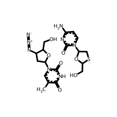 Cc1cn(C2CC(N=[N+]=[N-])C(CO)O2)c(=O)[nH]c1=O.Nc1ccn(C2CSC(CO)O2)c(=O)n1